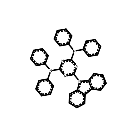 c1ccc(N(c2ccccc2)c2nc(N(c3ccccc3)c3ccccc3)nc(-n3c4ccccc4c4ccccc43)n2)cc1